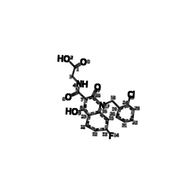 O=C(O)CNC(=O)c1c(O)c2ccc(F)cc2n(Cc2ccccc2Cl)c1=O